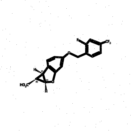 O=C(O)[C@H]1[C@@H]2Oc3cc(OCc4ccc(C(F)(F)F)cc4F)ccc3[C@@H]21